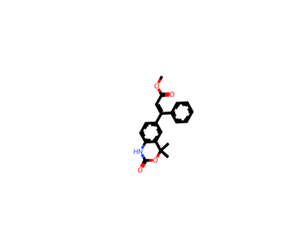 COC(=O)/C=C(\c1ccccc1)c1ccc2c(c1)C(C)(C)OC(=O)N2